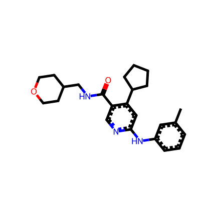 Cc1cccc(Nc2cc(C3CCCC3)c(C(=O)NCC3CCOCC3)cn2)c1